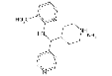 N.O=C(O)c1cccnc1NC(c1ccncc1)C1CCNCC1